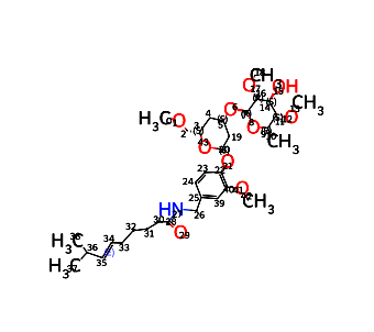 COC[C@@H]1C[C@H](O[C@@H]2O[C@H](C)[C@@H](OC)[C@H](O)[C@H]2OC)C[C@H](Oc2ccc(CNC(=O)CCCC/C=C/C(C)C)cc2OC)O1